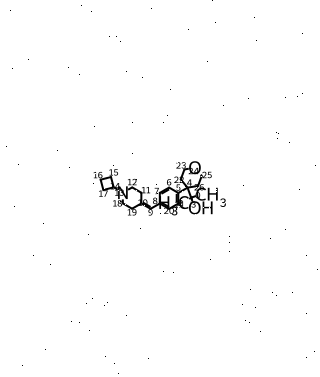 CC(C)(O)C1(c2ccc(C=C3CCN(C4CCC4)CC3)cc2)CCOCC1